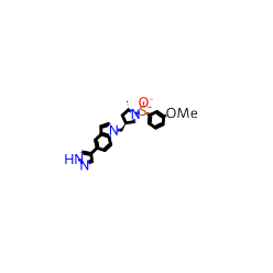 COc1cccc([S@+]([O-])N2C[C@@H](Cn3ccc4cc(-c5cn[nH]c5)ccc43)C[C@@H]2C)c1